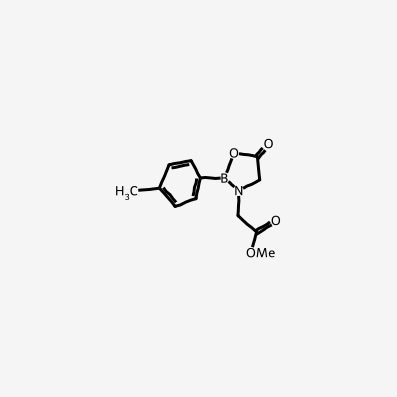 COC(=O)CN1CC(=O)OB1c1ccc(C)cc1